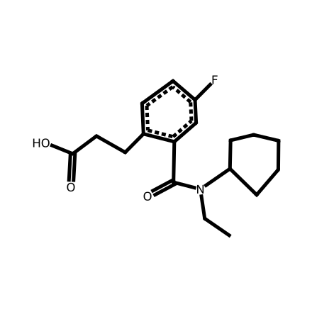 CCN(C(=O)c1cc(F)ccc1CCC(=O)O)C1CCCCC1